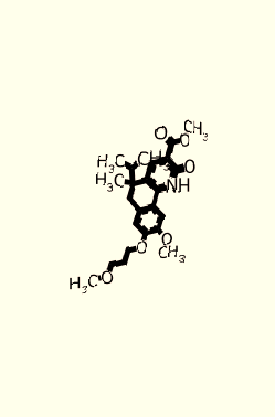 COCCCOc1cc2c(cc1OC)-c1[nH]c(=O)c(C(=O)OC)cc1C(C)(C(C)C)C2